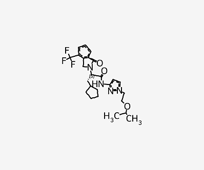 CC(C)OCCn1ccc(NC(=O)[C@H](CC2CCCC2)N2Cc3c(cccc3C(F)(F)F)C2=O)n1